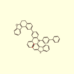 c1ccc(-c2ccc(N(c3ccc(-c4ccc5c(c4)-c4c(oc6ccccc46)CC5)cc3-c3ccccc3)c3cccc4sc5ccccc5c34)cc2)cc1